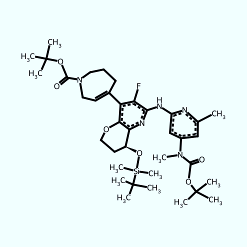 Cc1cc(N(C)C(=O)OC(C)(C)C)cc(Nc2nc3c(c(C4=CCN(C(=O)OC(C)(C)C)CCC4)c2F)OCC[C@@H]3O[Si](C)(C)C(C)(C)C)n1